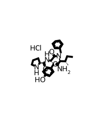 CC[C@H](C)[C@@H](C(N)=O)N(Cc1ccccc1)C(=O)[C@H](Cc1ccc(O)cc1)NC(=O)[C@@H]1CCCN1.Cl